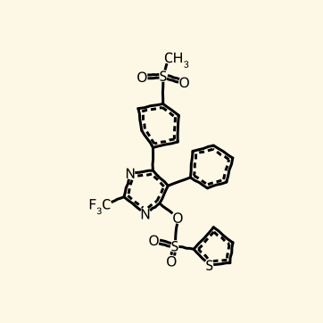 CS(=O)(=O)c1ccc(-c2nc(C(F)(F)F)nc(OS(=O)(=O)c3cccs3)c2-c2ccccc2)cc1